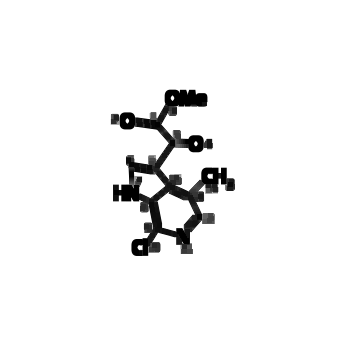 COC(=O)C(=O)c1c[nH]c2c(Cl)ncc(C)c12